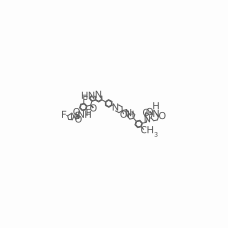 Cc1ccc(C2CCN(CC3(O)CCN(c4ccc(-c5cnc6[nH]cc(C(=O)c7c(F)ccc(NS(=O)(=O)N8CCC(F)C8)c7F)c6c5)cc4)CC3)CC2)cc1CN(C=O)C1CCC(=O)NC1=O